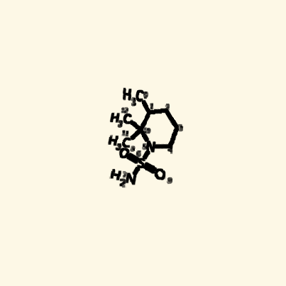 CC1CCCN(S(N)(=O)=O)C1(C)C